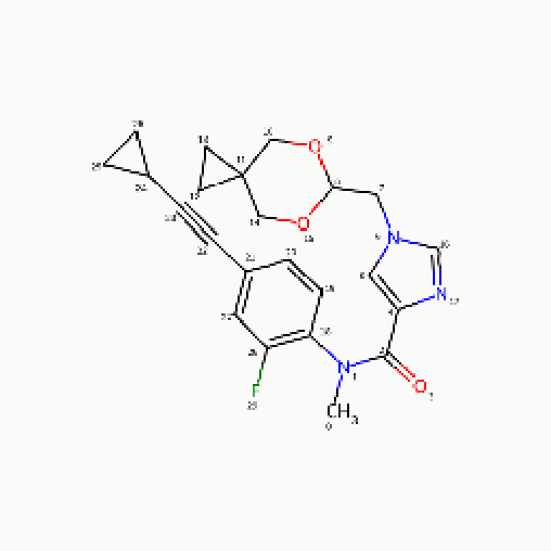 CN(C(=O)c1cn(CC2OCC3(CC3)CO2)cn1)c1ccc(C#CC2CC2)cc1F